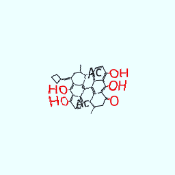 CC(=O)C1c2c(c(O)c3c(O)cccc3c2-c2c3c(c(O)c4c(O)cccc24)C(=C2CCC2)CC(C)C3C(C)=O)C(=O)CC1C